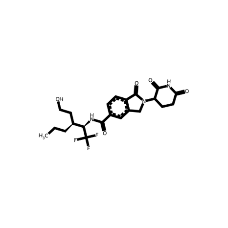 CCC[C@@H](CCO)[C@@H](NC(=O)c1ccc2c(c1)CN(C1CCC(=O)NC1=O)C2=O)C(F)(F)F